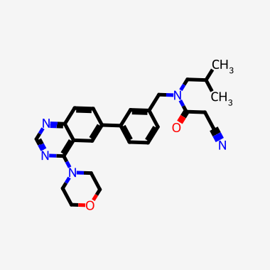 CC(C)CN(Cc1cccc(-c2ccc3ncnc(N4CCOCC4)c3c2)c1)C(=O)CC#N